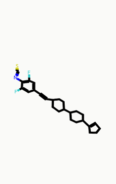 Fc1cc(C#CC2CCC(C3CCC(C4=CCCC4)CC3)CC2)cc(F)c1N=C=S